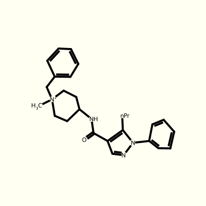 CCCc1c(C(=O)NC2CC[N+](C)(Cc3ccccc3)CC2)cnn1-c1ccccc1